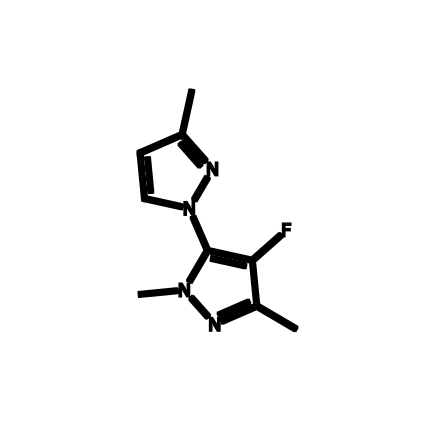 Cc1ccn(-c2c(F)c(C)nn2C)n1